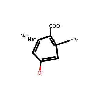 CCCc1cc([O-])ccc1C(=O)[O-].[Na+].[Na+]